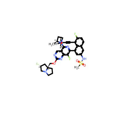 CC(C)[Si](C#Cc1c(F)ccc2cc(NS(C)(=O)=O)cc(-c3nc(N4CC[C@@H]4C)c4cnc(OC[C@@]56CCCN5C[C@H](F)C6)nc4c3F)c12)(C(C)C)C(C)C